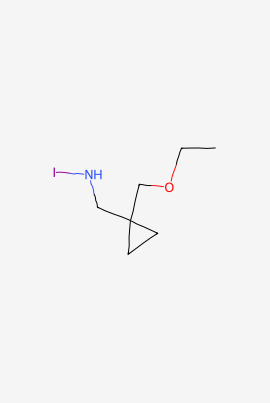 CCOCC1(CNI)CC1